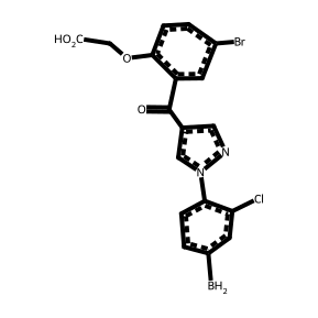 Bc1ccc(-n2cc(C(=O)c3cc(Br)ccc3OCC(=O)O)cn2)c(Cl)c1